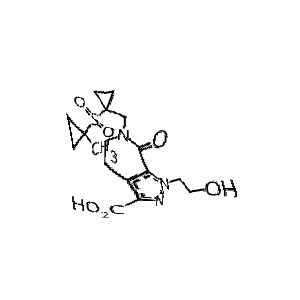 CC1(S(=O)(=O)C2(CN3CCc4c(C(=O)O)nn(CCO)c4C3=O)CC2)CC1